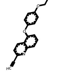 C#Cc1ccc2c(Oc3ccc(OCCOC)cc3)cccc2n1